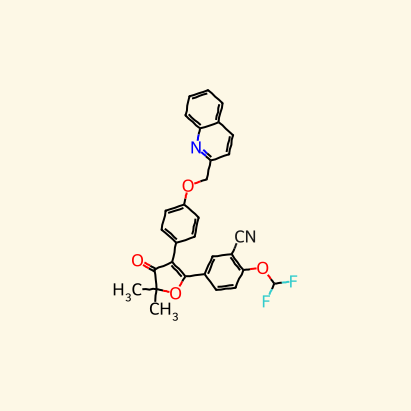 CC1(C)OC(c2ccc(OC(F)F)c(C#N)c2)=C(c2ccc(OCc3ccc4ccccc4n3)cc2)C1=O